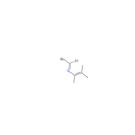 CC/C(=N\C(C)=C(C)C)C(C)CC